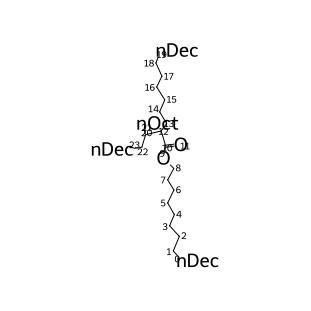 CCCCCCCCCCCCCCCCCCOC(=O)C(CCCCCCCCCCCCCCCC)C(CCCCCCCC)CCCCCCCCCCC